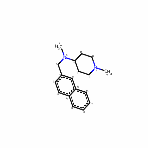 CN1CCC(N(C)Cc2ccc3ccccc3c2)CC1